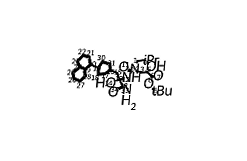 CC(C)CN(CC(O)C(=O)OC(C)(C)C)C(=O)NC(O)(Cc1ccc(-c2cccc3ccccc23)cc1)C(N)=O